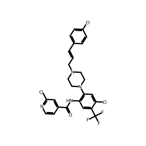 O=C(Nc1cc(C(F)(F)F)c(Cl)cc1N1CCN(C/C=C/c2ccc(Cl)cc2)CC1)c1ccnc(Cl)c1